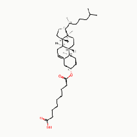 CC(C)CCC[C@@H](C)[C@H]1CC[C@H]2[C@@H]3CC=C4C[C@@H](OC(=O)CCCCCCCC(=O)O)CC[C@]4(C)[C@H]3CC[C@]12C